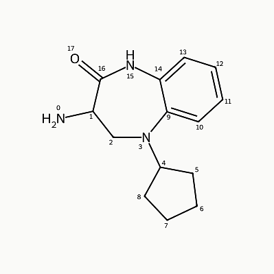 NC1CN(C2CCCC2)c2ccccc2NC1=O